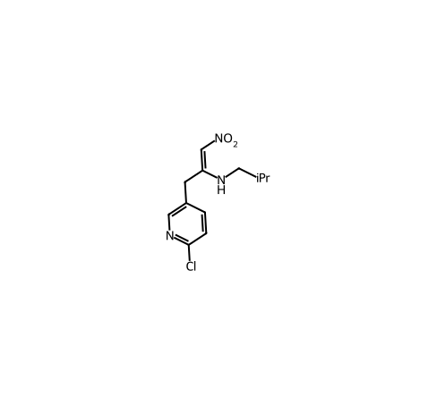 CC(C)CNC(=C[N+](=O)[O-])Cc1ccc(Cl)nc1